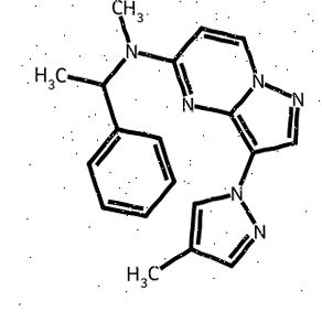 Cc1cnn(-c2cnn3ccc(N(C)C(C)c4ccccc4)nc23)c1